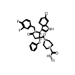 CCNC(=O)N1CCN(C(=O)[C@]2(Sc3ccccc3)CC(=O)N(Cc3ccc(F)c(F)c3)[C@H]2c2c[nH]c3cc(Cl)ccc23)CC1